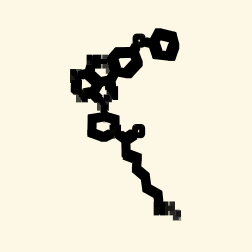 NCCCC/C=C/C(=O)N1CCC[C@@H](n2nc(-c3ccc(Oc4ccccc4)cc3)c3c(N)ncnc32)C1